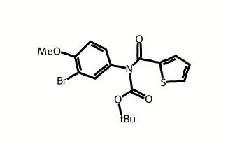 COc1ccc(N(C(=O)OC(C)(C)C)C(=O)c2cccs2)cc1Br